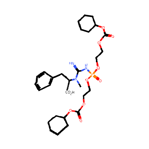 CN(C(=N)NP(=O)(OCCOC(=O)OC1CCCCC1)OCCOC(=O)OC1CCCCC1)C(Cc1ccccc1)C(=O)O